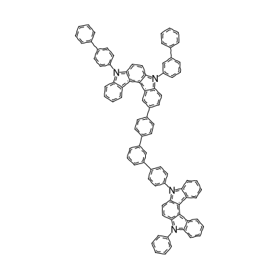 c1ccc(-c2ccc(-n3c4ccccc4c4c5c6cc(-c7ccc(-c8cccc(-c9ccc(-n%10c%11ccccc%11c%11c%12c%13ccccc%13n(-c%13ccccc%13)c%12ccc%11%10)cc9)c8)cc7)ccc6n(-c6cccc(-c7ccccc7)c6)c5ccc43)cc2)cc1